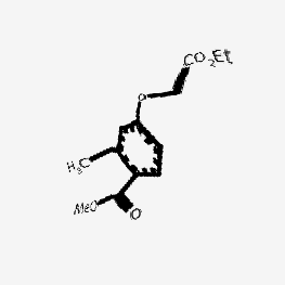 CCOC(=O)COc1ccc(C(=O)OC)c(C)c1